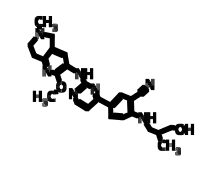 COc1nc2c(cc1Nc1nccc(-c3ccc(NCC(C)CO)c(C#N)c3)n1)CN(C)CC2